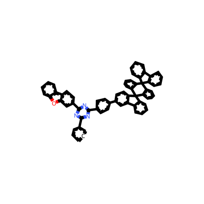 c1ccc(-c2nc(-c3ccc(-c4ccc5c(c4)-c4ccccc4C54c5ccccc5C5(c6ccccc6-c6ccccc65)c5ccccc54)cc3)nc(-c3ccc4c(c3)oc3ccccc34)n2)cc1